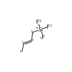 CC=CC[Si](F)(F)F